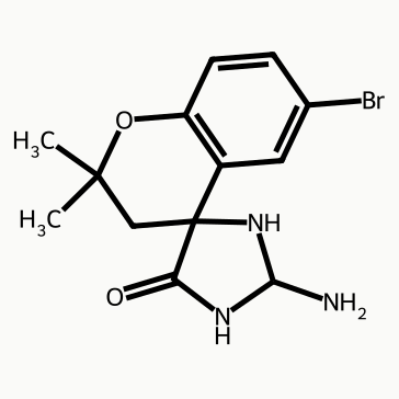 CC1(C)CC2(NC(N)NC2=O)c2cc(Br)ccc2O1